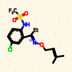 CC/C(=N\OCC=C(C)C)c1cc(Cl)ccc1NS(=O)(=O)C(F)(F)F